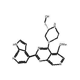 COc1cncc2nc(-c3ccnc4[nH]ccc34)nc(N3CCN[C@@H](CO)C3)c12